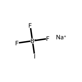 F[B-](F)(F)I.[Na+]